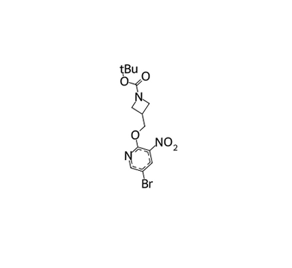 CC(C)(C)OC(=O)N1CC(COc2ncc(Br)cc2[N+](=O)[O-])C1